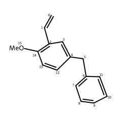 C=Cc1cc(Cc2ccccc2)ccc1OC